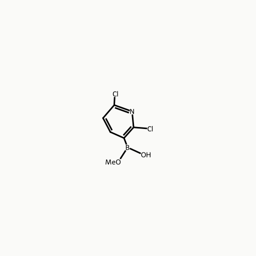 COB(O)c1ccc(Cl)nc1Cl